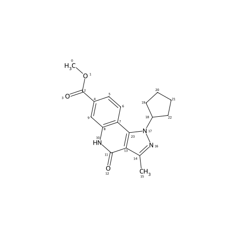 COC(=O)c1ccc2c(c1)[nH]c(=O)c1c(C)nn(C3CCCC3)c12